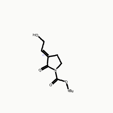 CC(C)(C)OC(=O)N1CC/C(=C\CO)C1=O